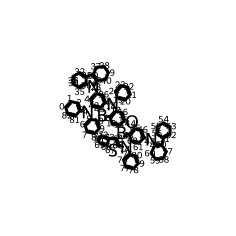 c1ccc(N2c3ccccc3B3c4cc5c(cc4N(c4ccccc4)c4cc(-n6c7c(c8ccccc86)CCCC7)cc2c43)Oc2cc(-n3c4c(c6ccccc63)CCCC4)cc3c2B5c2c(sc4ccccc24)N3c2ccccc2)cc1